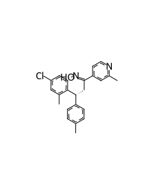 Cc1ccc([C@@H](C/C(=N\O)c2ccnc(C)c2)c2ccc(Cl)cc2C)cc1